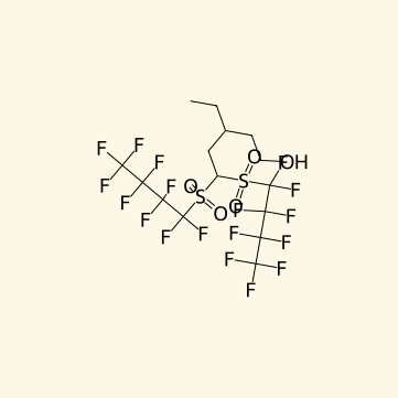 CCC(CCO)CC(S(=O)(=O)C(F)(F)C(F)(F)C(F)(F)C(F)(F)F)S(=O)(=O)C(F)(F)C(F)(F)C(F)(F)C(F)(F)F